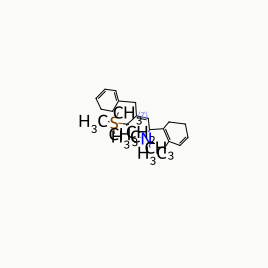 C=C(/C(=C\C(C1=C(C)C=CCC1)N(C)C)CC1=CC=CCC1)S(C)(C)C